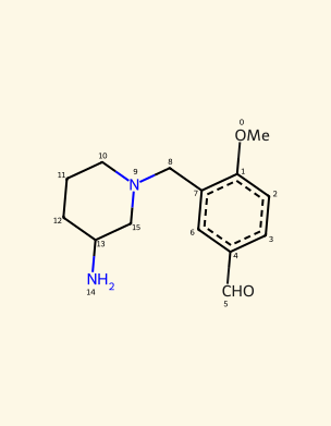 COc1ccc(C=O)cc1CN1CCCC(N)C1